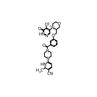 CC1NC(N2CCN(C(=O)c3cccc(OCC4COCCN4c4cn[nH]c(=O)c4C(F)(F)F)c3)CC2)=CC=C1C#N